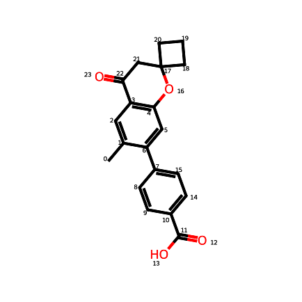 Cc1cc2c(cc1-c1ccc(C(=O)O)cc1)OC1(CCC1)CC2=O